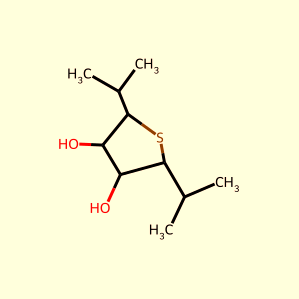 CC(C)C1SC(C(C)C)C(O)C1O